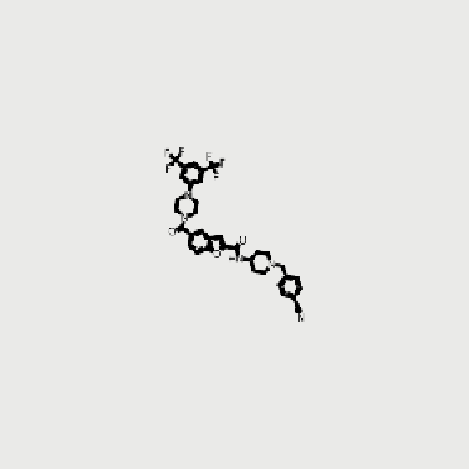 N#Cc1ccc(CN2CCC(NC(=O)c3cc4cc(C(=O)N5CCN(c6cc(C(F)(F)F)cc(C(F)(F)F)c6)CC5)ccc4o3)CC2)cc1